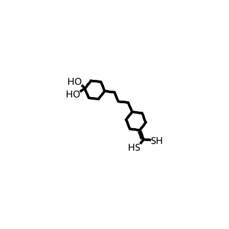 OC1(O)CCC(CCCC2CCC(=C(S)S)CC2)CC1